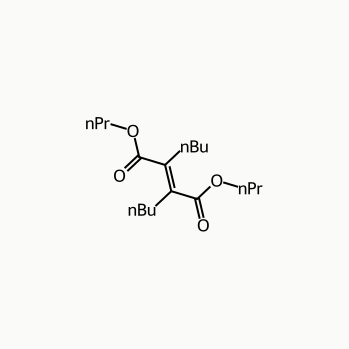 CCCCC(C(=O)OCCC)=C(CCCC)C(=O)OCCC